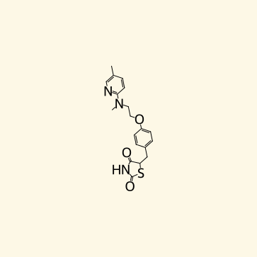 Cc1ccc(N(C)CCOc2ccc(CC3SC(=O)NC3=O)cc2)nc1